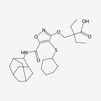 CCC(CC)(COc1noc(C(=O)NC2C3CC4CC(C3)CC2C4)c1SC1CCCCC1)C(=O)O